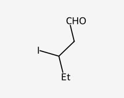 CCC(I)CC=O